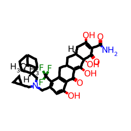 CC1(C)C2CC[C@@H](CN(Cc3cc(O)c4c(c3C(F)(F)F)CC3C[C@H]5CC(O)=C(C(N)=O)C(=O)[C@@]5(O)C(O)=C3C4=O)CC3CC3)C1C2